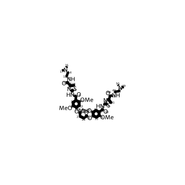 COc1cc(C(=O)Nc2nc(C(=O)NCCN(C)C)cs2)c(OC)cc1OC(=O)/C=C\C(=O)Oc1cc(OC)c(C(=O)Nc2nc(C(=O)NCCN(C)C)cs2)cc1OC